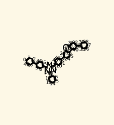 c1ccc(-c2ccc(-c3nc(-c4ccccc4)nc(-c4ccc(-c5ccc6c(c5)oc5ccc(-c7ccccc7)cc56)cc4)n3)cc2)cc1